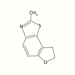 Cc1nc2ccc3c(c2s1)CCO3